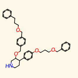 c1ccc(CCCOCc2ccc(COC3CNCCC3c3ccc(OCCCOCc4ccccc4)cc3)cc2)cc1